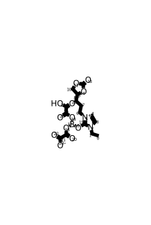 CCn1cc[n+](CCCC2COC(=O)O2)c1OB(OC(=O)C(=O)[O-])OC(=O)C(=O)O